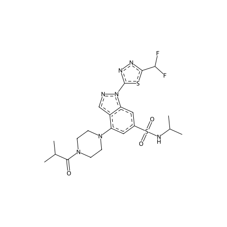 CC(C)NS(=O)(=O)c1cc(N2CCN(C(=O)C(C)C)CC2)c2cnn(-c3nnc(C(F)F)s3)c2c1